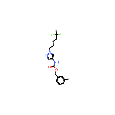 Cc1cccc(COC(=O)Nc2cnn(CCCCC(C)(F)F)c2)c1